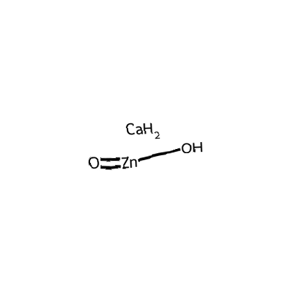 [CaH2].[O]=[Zn][OH]